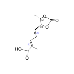 C/C(=C\C=C\[C@@H]1OC(=O)O[C@H]1C)C(=O)O